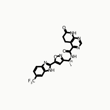 C[C@@H](NC(=O)c1ncnc2c1CCC(=O)N2)c1cc(-c2nc3ccc(C(F)(F)F)cc3[nH]2)on1